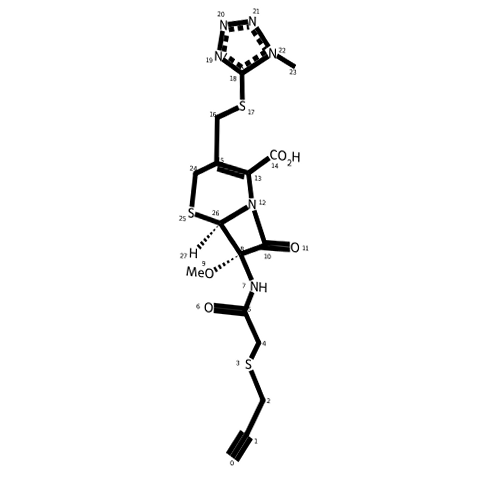 C#CCSCC(=O)N[C@]1(OC)C(=O)N2C(C(=O)O)=C(CSc3nnnn3C)CS[C@@H]21